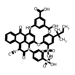 [C-]#[N+]c1c2c3c(c(Nc4cc(C(=O)O)cc(C(=O)O)c4)cc(Oc4ccc(C(C)(C)CC)cc4S(=O)(=O)O)c3n(-c3ccc(S(=O)(=O)O)cc3)c1=O)C(=O)c1ccccc1-2